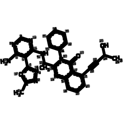 Cc1nnc(-c2c(N)ncnc2NC(C)c2nc3cccc(C#CC(C)O)c3c(=O)n2-c2ccccc2)o1